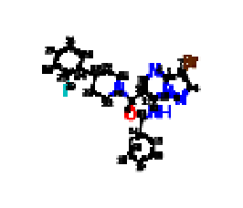 O=C(c1cnc2c(Br)cnn2c1NCc1ccccc1)N1CCC(c2ccccc2F)CC1